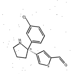 O=Cc1cc([C@]2(c3cccc(Cl)c3)CCCN2)cs1